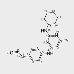 Cc1cc(Nc2ccc(NC=O)cc2)nc(NC2CCCCC2)n1